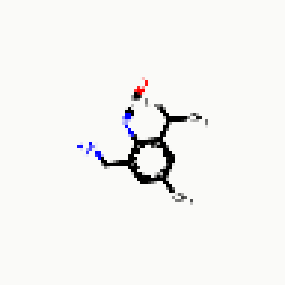 Cc1cc(CN)c(N=C=O)c(C(C)C)c1